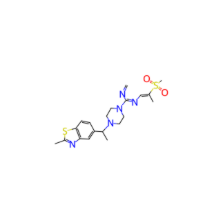 C=N/C(=N\C=C(/C)S(C)(=O)=O)N1CCN(C(C)c2ccc3sc(C)nc3c2)CC1